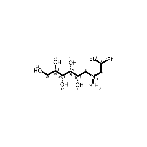 CCC(CC)CN(C)C[C@H](O)[C@@H](O)[C@H](O)[C@H](O)CO